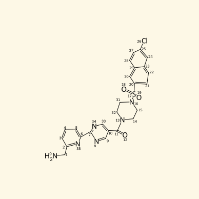 NCc1cccc(-c2ncc(C(=O)N3CCN(S(=O)(=O)c4ccc5cc(Cl)ccc5c4)CC3)cn2)n1